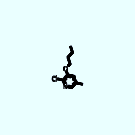 CCCCOc1cc(C)cnc1Cl